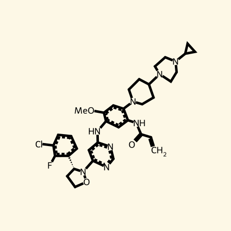 C=CC(=O)Nc1cc(Nc2cc(N3OCC[C@@H]3c3cccc(Cl)c3F)ncn2)c(OC)cc1N1CCC(N2CCN(C3CC3)CC2)CC1